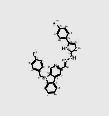 Fc1ccc(Cn2c3ccccc3c3cc(/C=N/NC4NC(c5ccc(Br)cc5)=CS4)ncc32)cc1